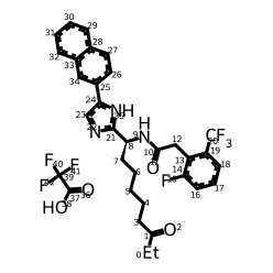 CCC(=O)CCCCC[C@H](NC(=O)Cc1c(F)cccc1C(F)(F)F)c1ncc(-c2ccc3ccccc3c2)[nH]1.O=C(O)C(F)(F)F